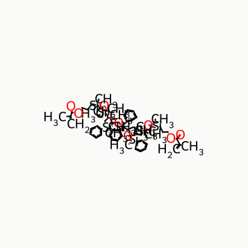 C=C(C)C(=O)OCCC[Si](C)(C)O[Si](C)(C)CC[Si](C)(OC(CC)[Si](O[C@](C)(CC)[Si](C)(CC[Si](C)(C)O[Si](C)(C)CCCOC(=O)C(=C)C)c1ccccc1)(c1ccccc1)c1ccccc1)c1ccccc1